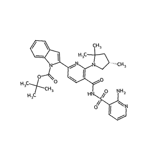 C[C@@H]1CN(c2nc(-c3cc4ccccc4n3C(=O)OC(C)(C)C)ccc2C(=O)NS(=O)(=O)c2cccnc2N)C(C)(C)C1